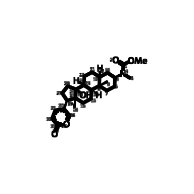 COC(=O)N(C)[C@H]1CC[C@@]2(C)[C@H](CC[C@@H]3[C@@H]2CC[C@]2(C)[C@@H](c4ccc(=O)oc4)CC[C@]32O)C1